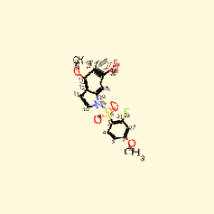 COc1ccc(S(=O)(=O)n2ccc3c(OC)cc(Br)cc32)c(F)c1